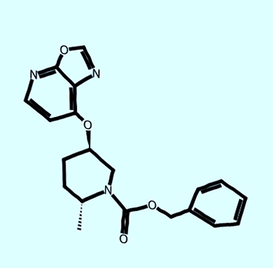 C[C@@H]1CC[C@@H](Oc2ccnc3ocnc23)CN1C(=O)OCc1ccccc1